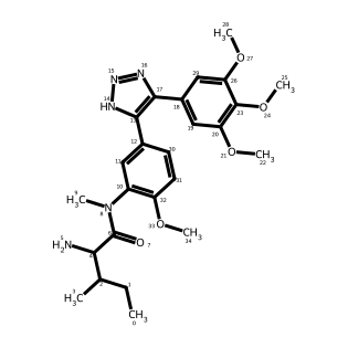 CCC(C)C(N)C(=O)N(C)c1cc(-c2[nH]nnc2-c2cc(OC)c(OC)c(OC)c2)ccc1OC